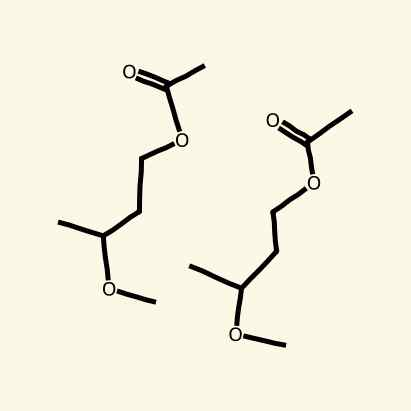 COC(C)CCOC(C)=O.COC(C)CCOC(C)=O